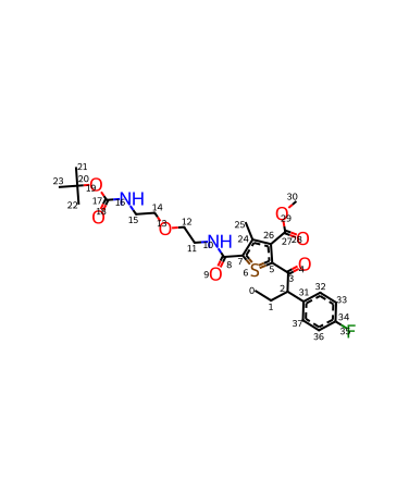 CCC(C(=O)c1sc(C(=O)NCCOCCNC(=O)OC(C)(C)C)c(C)c1C(=O)OC)c1ccc(F)cc1